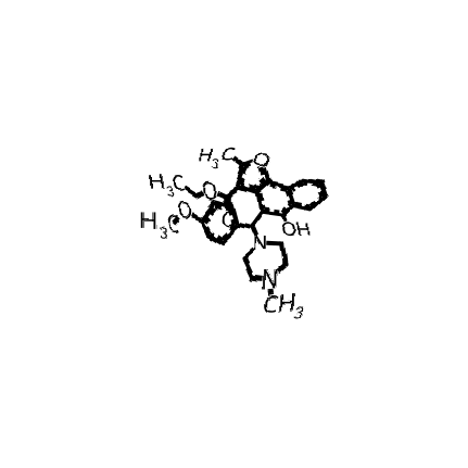 CCOC(=O)c1c(C)oc2c1c(C(c1ccc(OC)cc1)N1CCN(C)CC1)c(O)c1ccccc12